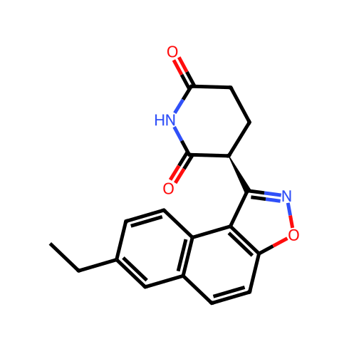 CCc1ccc2c(ccc3onc([C@@H]4CCC(=O)NC4=O)c32)c1